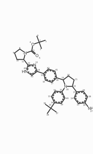 CC(C)(C)OC(=O)N1CCCC1c1nc(-c2ccc(C3CCC(c4ccc(N)cc4)N3c3ccc(C(C)(C)C)cc3)cc2)c[nH]1